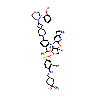 CC(C)Oc1ccccc1[C@@H]1COCCN1C1CC2(CCN(c3ccc(C(=O)NS(=O)(=O)c4ccc(NCC5CCC(C)(O)CC5)c([N+](=O)[O-])c4)c(N4c5cc6cc[nH]c6nc5O[C@@H]5COC[C@H]54)c3)CC2)C1